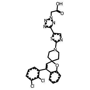 O=C(O)Cn1nnc(-c2cnc(N3CCC4(C=C(c5cccc(Cl)c5Cl)c5ccccc5O4)CC3)s2)n1